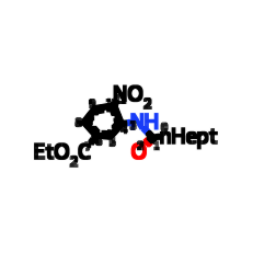 CCCCCCCC(=O)Nc1cc(C(=O)OCC)ccc1[N+](=O)[O-]